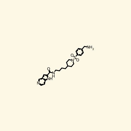 NCc1ccc(S(=O)(=O)N2CCC(CCCCNC(=O)c3cc4cnccc4[nH]3)CC2)cc1